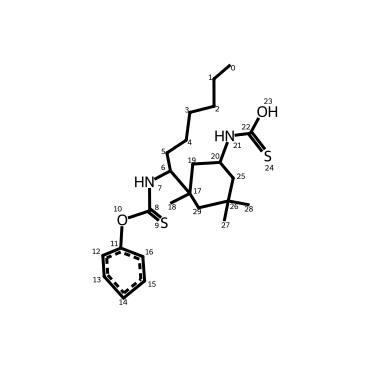 CCCCCCC(NC(=S)Oc1ccccc1)C1(C)CC(NC(O)=S)CC(C)(C)C1